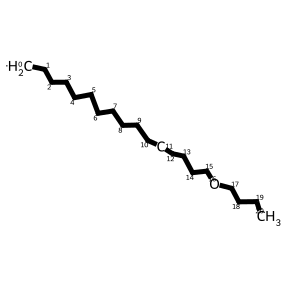 [CH2]CCCCCCCCCCCCCCCOCCCC